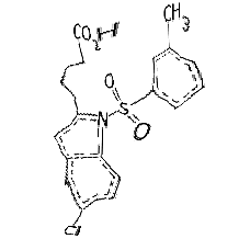 Cc1cccc(S(=O)(=O)n2c(CCC(=O)O)cc3cc(Cl)ccc32)c1